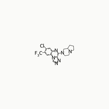 FC(F)(F)c1cc2c(cc1Cl)nc(N1CCN3CCCC3C1)c1nncn12